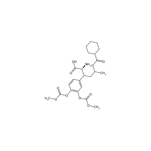 COC(=O)Oc1ccc(C(CC(C)OC(=O)C2CCCCC2)[C@H](N)C(=O)O)cc1OC(=O)OC